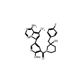 COc1ncc(-c2cc(C(F)(F)F)c3c(N)ncnn23)cc1C(=O)N1CCCC(O)(Cc2ccc(F)cc2)C1